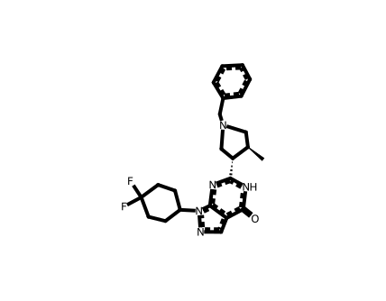 C[C@@H]1CN(Cc2ccccc2)C[C@H]1c1nc2c(cnn2C2CCC(F)(F)CC2)c(=O)[nH]1